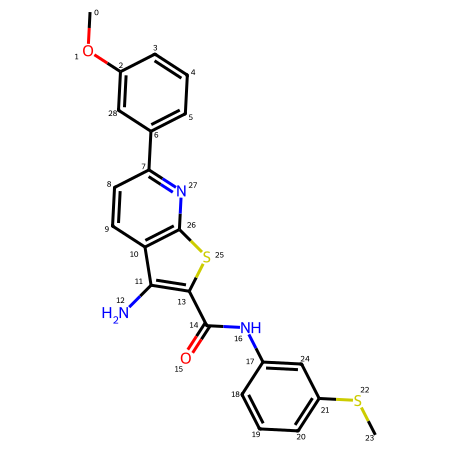 COc1cccc(-c2ccc3c(N)c(C(=O)Nc4cccc(SC)c4)sc3n2)c1